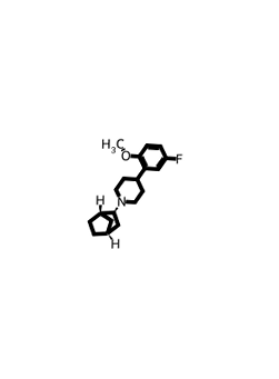 COc1ccc(F)cc1C1CCN([C@@H]2C[C@H]3CC[C@H]2C3)CC1